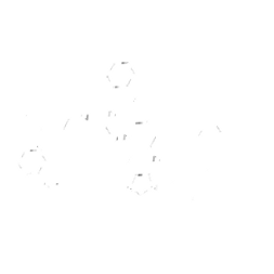 CCC(C)C(NC(=O)[C@@H](Cc1c[nH]cn1)NC(=O)[C@H](Cc1ccccc1)NC(=O)[C@H](CSSc1ncccc1[N+](=O)[O-])NC(=O)OC(C)(C)C)O/[P+]([O-])=C/C(=O)O